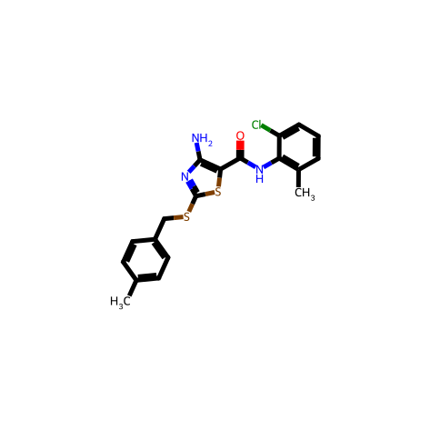 Cc1ccc(CSc2nc(N)c(C(=O)Nc3c(C)cccc3Cl)s2)cc1